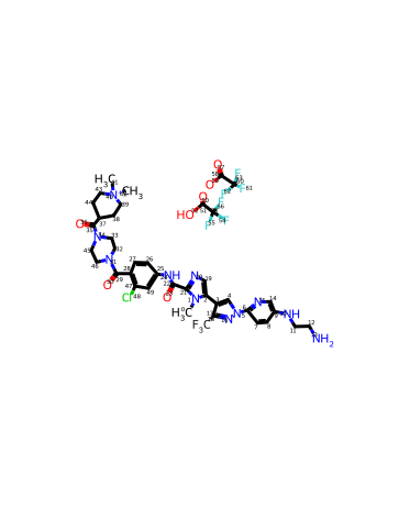 Cn1c(-c2cn(-c3ccc(NCCN)cn3)nc2C(F)(F)F)cnc1C(=O)Nc1ccc(C(=O)N2CCN(C(=O)C3CC[N+](C)(C)CC3)CC2)c(Cl)c1.O=C(O)C(F)(F)F.O=C([O-])C(F)(F)F